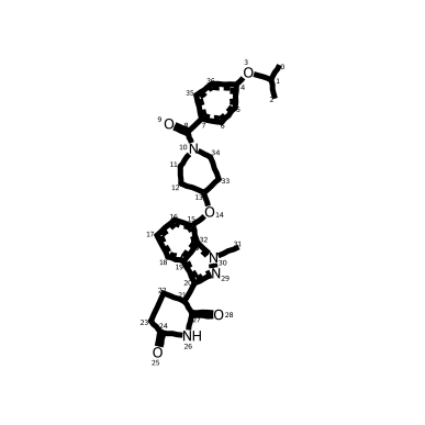 CC(C)Oc1ccc(C(=O)N2CCC(Oc3cccc4c(C5CCC(=O)NC5=O)nn(C)c34)CC2)cc1